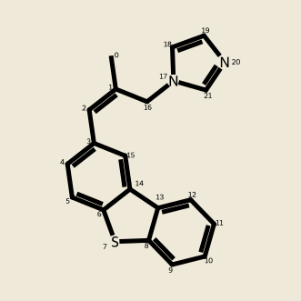 CC(=Cc1ccc2sc3ccccc3c2c1)Cn1ccnc1